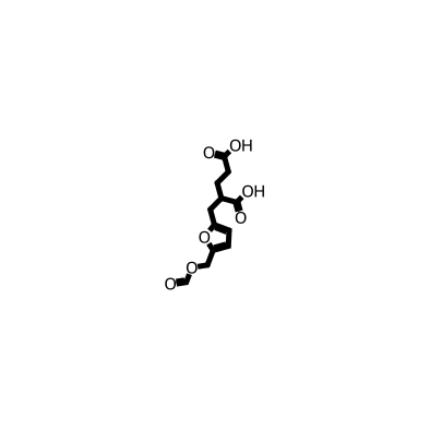 O=COCc1ccc(CC(CCC(=O)O)C(=O)O)o1